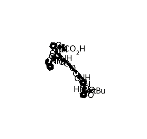 CC(C(=O)NC(C(=O)N1C[C@@H](NC(=O)COCCOCCOCC(=O)Nc2ccc(C(=O)Nc3ccccc3NC(=O)OC(C)(C)C)cc2)C[C@H]1C(=O)N[C@@H]1CCCc2ccccc21)C1CCCCC1)N(C)C(=O)O